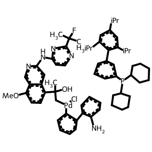 CC(C)c1cc(C(C)C)c(-c2cccc(P(C3CCCCC3)C3CCCCC3)c2)c(C(C)C)c1.COc1ccc(C(C)(O)[CH2][Pd]([Cl])[c]2ccccc2-c2ccccc2N)c2cc(Nc3ccnc(C(C)(C)F)n3)ncc12